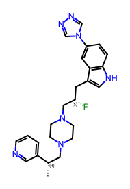 C[C@@H](CN1CCN(C[C@@H](F)Cc2c[nH]c3ccc(-n4cnnc4)cc23)CC1)c1cccnc1